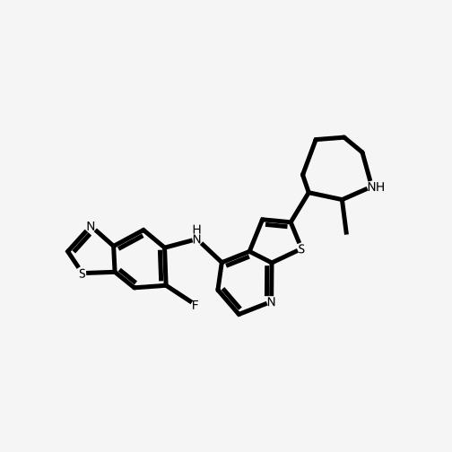 CC1NCCCCC1c1cc2c(Nc3cc4ncsc4cc3F)ccnc2s1